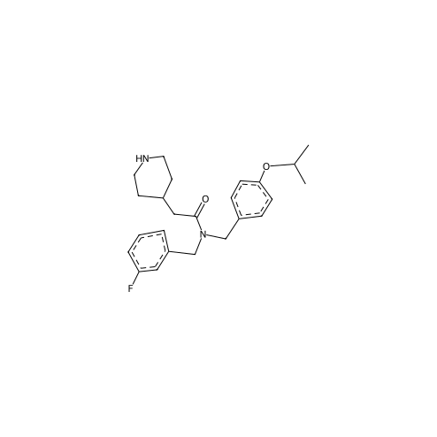 CC(C)Oc1ccc(CN(Cc2cccc(F)c2)C(=O)CC2CCNCC2)cc1